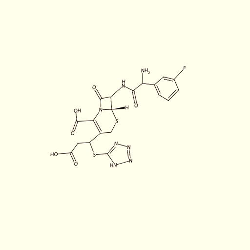 NC(C(=O)NC1C(=O)N2C(C(=O)O)=C(C(CC(=O)O)Sc3nnn[nH]3)CS[C@@H]12)c1cccc(F)c1